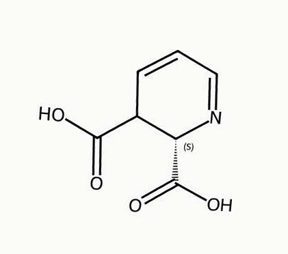 O=C(O)C1C=CC=N[C@@H]1C(=O)O